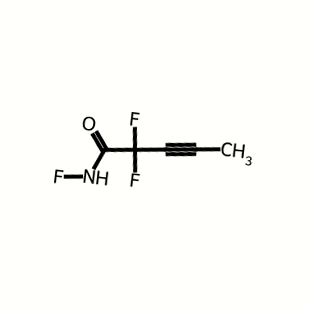 CC#CC(F)(F)C(=O)NF